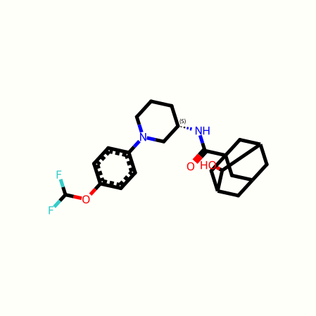 O=C(N[C@H]1CCCN(c2ccc(OC(F)F)cc2)C1)C12CC3CC(C1)C(O)C(C3)C2